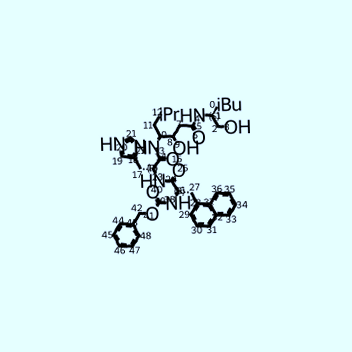 CCC(C)[C@@H](CO)NC(=O)CC(O)C(CC(C)C)NC(=O)[C@@H](Cc1c[nH]cn1)NC(=O)[C@H](Cc1cccc2ccccc12)NC(=O)OCc1ccccc1